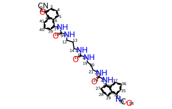 N#COc1cccc2c(NC(=O)NCCCNC(=O)NCCCNC(=O)Nc3cccc4c(N=C=O)cccc34)cccc12